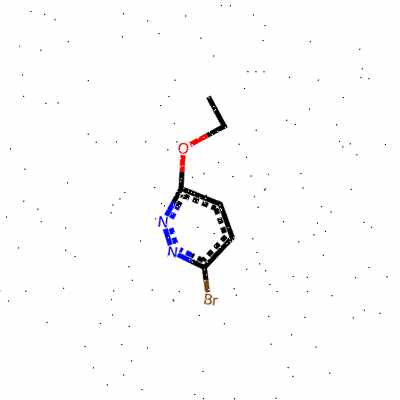 CCOc1ccc(Br)nn1